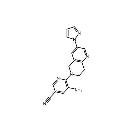 Cc1cc(C#N)cnc1N1CCc2ncc(-n3cccn3)cc2C1